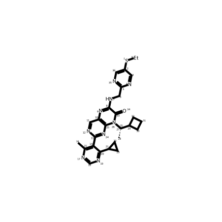 CCSc1cnc(CNc2nc3cnc(-c4c(C)ncnc4C4CC4)nc3n([C@@H](C)C3CCC3)c2=O)nc1